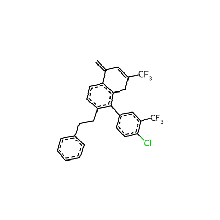 C=C1C=C(C(F)(F)F)Cc2c1ccc(CCc1ccccc1)c2-c1ccc(Cl)c(C(F)(F)F)c1